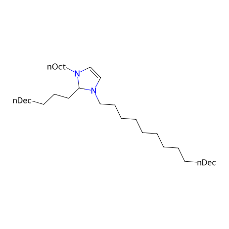 CCCCCCCCCCCCCCCCCCCN1C=CN(CCCCCCCC)C1CCCCCCCCCCCCC